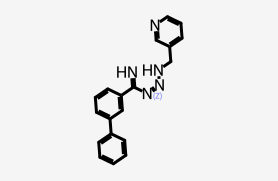 N=C(/N=N\NCc1cccnc1)c1cccc(-c2ccccc2)c1